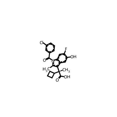 Cc1c([C@](C)(C(=O)O)C2CCC2)c2cc(O)c(F)cc2n1C(=O)c1cccc(Cl)c1